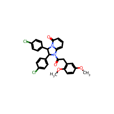 COc1ccc(OC)c(CC(=O)N2c3cccc(=O)n3C(c3ccc(Cl)cc3)C2c2ccc(Cl)cc2)c1